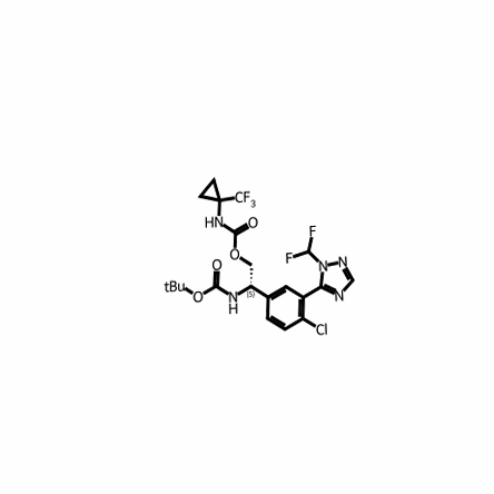 CC(C)(C)OC(=O)N[C@H](COC(=O)NC1(C(F)(F)F)CC1)c1ccc(Cl)c(-c2ncnn2C(F)F)c1